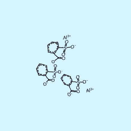 O=C([O-])c1ccccc1S(=O)(=O)[O-].O=C([O-])c1ccccc1S(=O)(=O)[O-].O=C([O-])c1ccccc1S(=O)(=O)[O-].[Al+3].[Al+3]